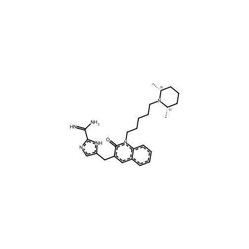 C[C@@H]1CCC[C@H](C)N1CCCCCn1c(=O)c(Cc2cnc(C(=N)N)[nH]2)cc2ccccc21